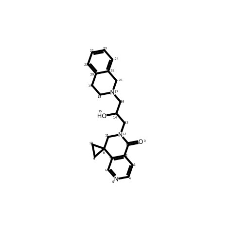 O=C1c2ccncc2C2(CC2)CN1CC(O)CN1CCc2ccccc2C1